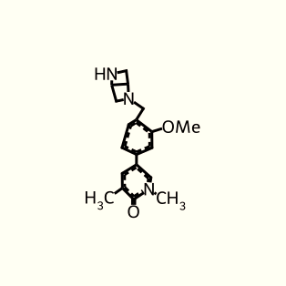 COc1cc(-c2cc(C)c(=O)n(C)c2)ccc1CN1CC2NCC21